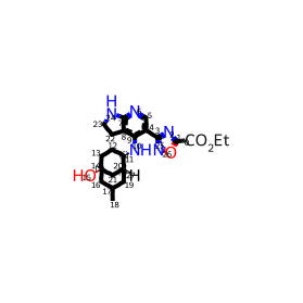 CCOC(=O)c1nc(-c2cnc3c(c2N[C@H]2CC[C@]4(O)CC(C)C[C@H]2C4)CCN3)no1